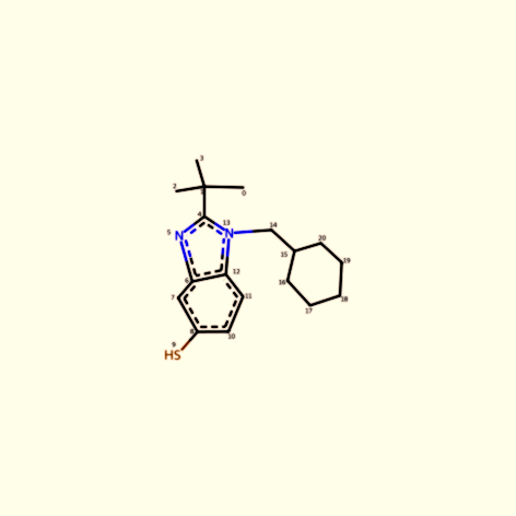 CC(C)(C)c1nc2cc(S)ccc2n1CC1CCCCC1